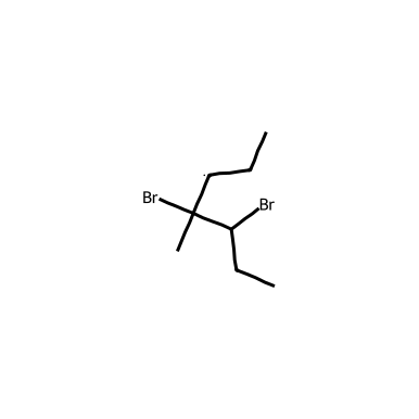 CC[CH]C(C)(Br)C(Br)CC